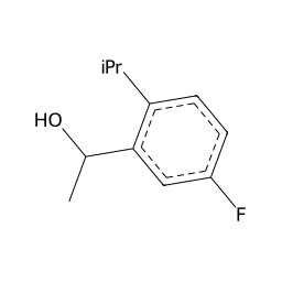 CC(C)c1ccc(F)cc1C(C)O